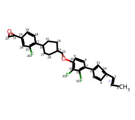 C/C=C/c1ccc(-c2ccc(OCC3CCC(c4ccc(C5CO5)cc4F)CC3)c(F)c2F)cc1